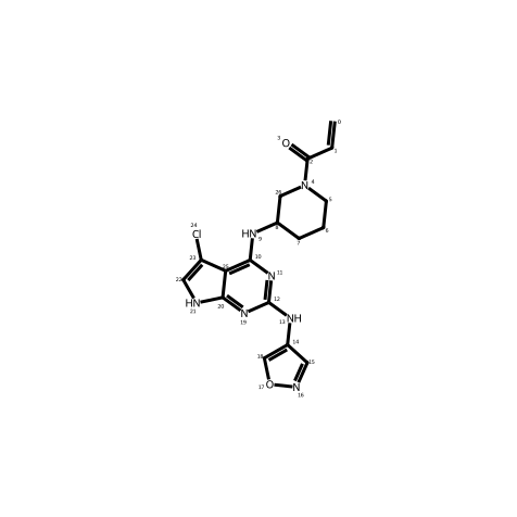 C=CC(=O)N1CCCC(Nc2nc(Nc3cnoc3)nc3[nH]cc(Cl)c23)C1